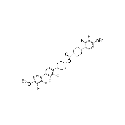 CCCc1ccc(C2CCC(C(=O)OC3CC=C(c4ccc(-c5ccc(OCC)c(F)c5F)c(F)c4F)CC3)CC2)c(F)c1F